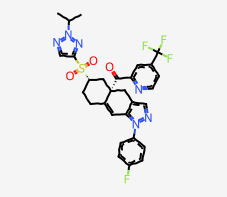 CC(C)n1ncc(S(=O)(=O)[C@H]2CCC3=Cc4c(cnn4-c4ccc(F)cc4)C[C@]3(C(=O)c3cc(C(F)(F)F)ccn3)C2)n1